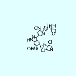 COc1cc2[nH]nc(-c3cnc(N4CC(C)(N[C@H]5CCOC5)C4)c(C#N)c3)c2cc1O[C@H](C)c1c(Cl)cncc1Cl